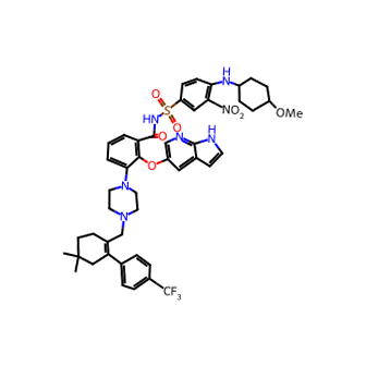 COC1CCC(Nc2ccc(S(=O)(=O)NC(=O)c3cccc(N4CCN(CC5=C(c6ccc(C(F)(F)F)cc6)CC(C)(C)CC5)CC4)c3Oc3cnc4[nH]ccc4c3)cc2[N+](=O)[O-])CC1